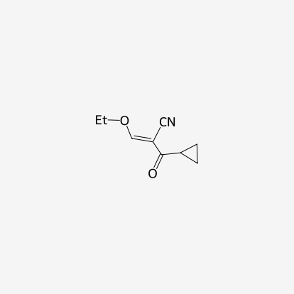 CCO/C=C(\C#N)C(=O)C1CC1